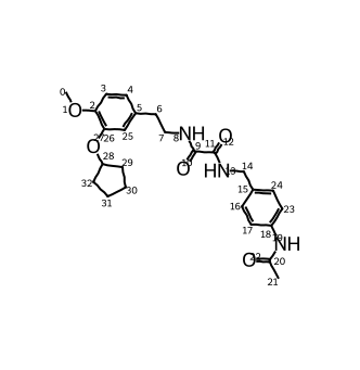 COc1ccc(CCNC(=O)C(=O)NCc2ccc(NC(C)=O)cc2)cc1OC1CCCC1